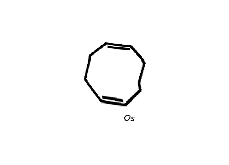 C1=C\CC/C=C\CC/1.[Os]